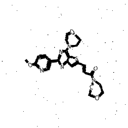 COc1ccc(-c2nc(N3CCOCC3)c3sc(/C=C/C(=O)N4CCOCC4)cc3n2)cn1